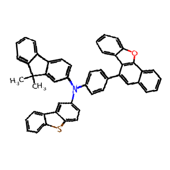 CC1(C)c2ccccc2-c2ccc(N(c3ccc(-c4cc5ccccc5c5oc6ccccc6c45)cc3)c3ccc4sc5ccccc5c4c3)cc21